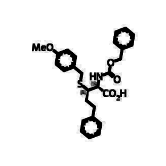 COc1ccc(CS[C@H](CCc2ccccc2)[C@@H](NC(=O)OCc2ccccc2)C(=O)O)cc1